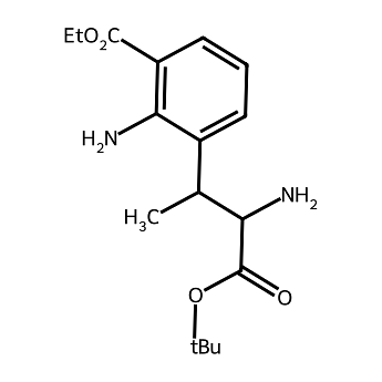 CCOC(=O)c1cccc(C(C)C(N)C(=O)OC(C)(C)C)c1N